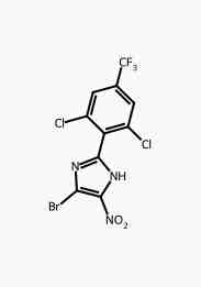 O=[N+]([O-])c1[nH]c(-c2c(Cl)cc(C(F)(F)F)cc2Cl)nc1Br